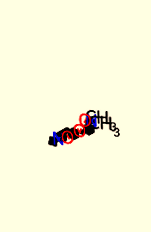 CN(C)C(=O)c1cccc(COc2ccc3c(c2)CCC2(CCN(C4CCC4)CC2)O3)c1